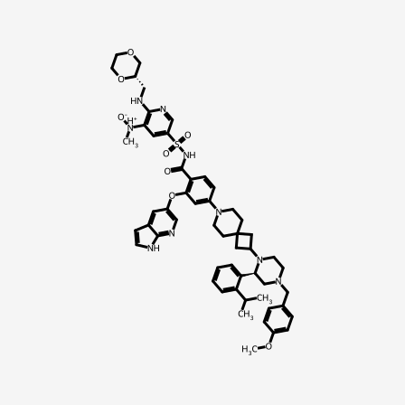 COc1ccc(CN2CCN(C3CC4(CCN(c5ccc(C(=O)NS(=O)(=O)c6cnc(NC[C@H]7COCCO7)c([NH+](C)[O-])c6)c(Oc6cnc7[nH]ccc7c6)c5)CC4)C3)[C@H](c3ccccc3C(C)C)C2)cc1